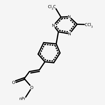 CCCOC(=O)C=Cc1ccc(-c2nc(C(Cl)(Cl)Cl)nc(C(Cl)(Cl)Cl)n2)cc1